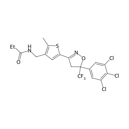 CCC(=O)NCc1cc(C2=NOC(c3cc(Cl)c(Cl)c(Cl)c3)(C(F)(F)F)C2)sc1C